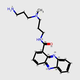 CN(CCCN)CCCNC(=O)c1cccc2nc3ccccc3nc12